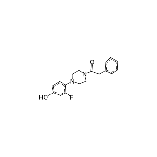 O=C(Cc1ccccc1)N1CCN(c2ccc(O)cc2F)CC1